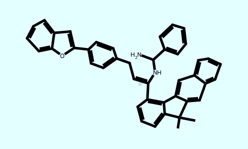 CC1(C)c2cc3ccccc3cc2-c2c(/C(=C/Cc3ccc(-c4cc5ccccc5o4)cc3)NC(N)c3ccccc3)cccc21